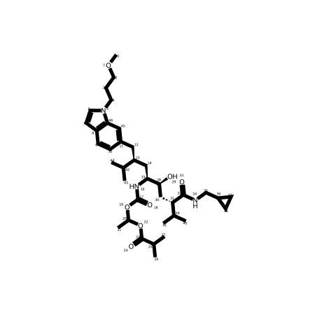 COCCCn1ccc2ccc(C[C@@H](C[C@H](NC(=O)OC(C)OC(=O)C(C)C)[C@@H](O)C[C@H](C(=O)NCC3CC3)C(C)C)C(C)C)cc21